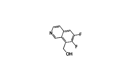 OCc1c(F)c(F)cc2ccncc12